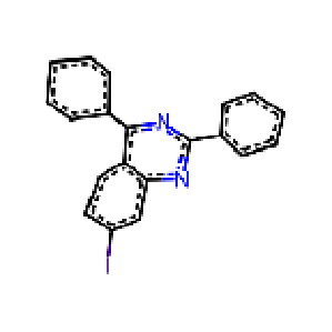 Ic1ccc2c(-c3ccccc3)nc(-c3ccccc3)nc2c1